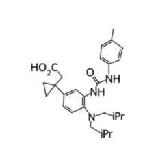 Cc1ccc(NC(=O)Nc2cc(C3(CC(=O)O)CC3)ccc2N(CC(C)C)CC(C)C)cc1